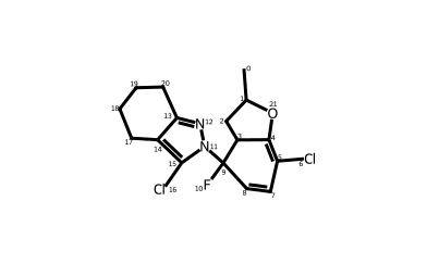 CC1CC2C(=C(Cl)C=CC2(F)n2nc3c(c2Cl)CCCC3)O1